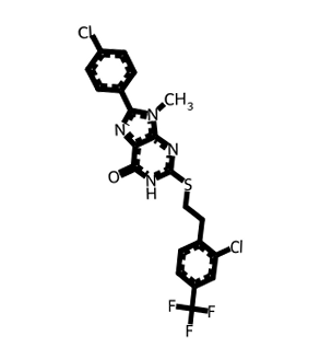 Cn1c(-c2ccc(Cl)cc2)nc2c(=O)[nH]c(SCCc3ccc(C(F)(F)F)cc3Cl)nc21